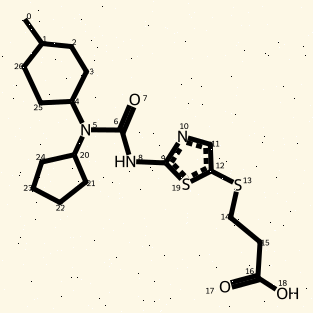 CC1CCC(N(C(=O)Nc2ncc(SCCC(=O)O)s2)C2CCCC2)CC1